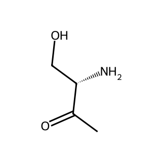 CC(=O)[C@@H](N)CO